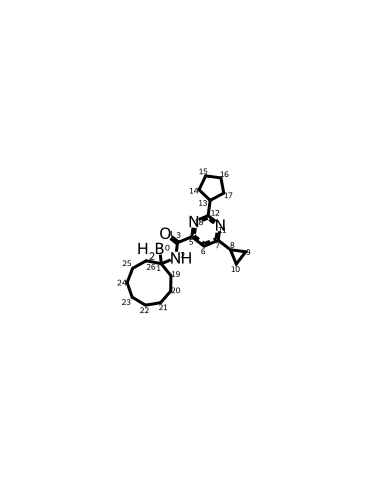 BC1(NC(=O)c2cc(C3CC3)nc(C3CCCC3)n2)CCCCCCCC1